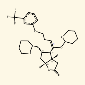 O=C1C[C@H]2[C@H](/C(=C\CCOc3cccc(C(F)(F)F)c3)OC3CCCCO3)[C@H](OC3CCCCO3)C[C@H]2O1